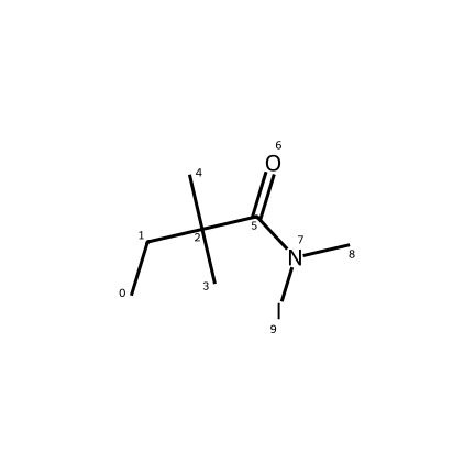 CCC(C)(C)C(=O)N(C)I